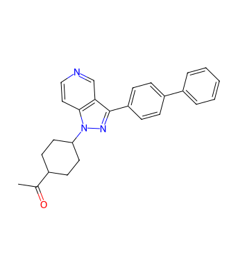 CC(=O)C1CCC(n2nc(-c3ccc(-c4ccccc4)cc3)c3cnccc32)CC1